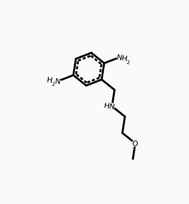 COCCNCc1cc(N)ccc1N